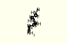 CN(C)CCNc1cc(F)cc(-c2cncc3[nH]c(-c4n[nH]c5ncc(-c6cncc(N7CC(N)C7)n6)cc45)cc23)c1